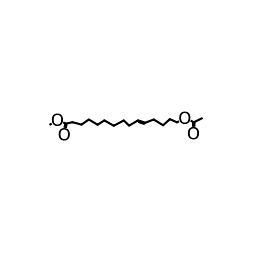 COC(=O)CCCCCCCC/C=C/CCCCOC(C)=O